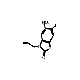 C=CCn1c(=O)sc2cc(F)c([N+](=O)[O-])cc21